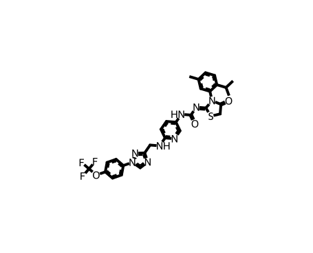 Cc1ccc(C(C)C)c(N2C(=O)CS/C2=N\C(=O)Nc2ccc(NCc3ncn(-c4ccc(OC(F)(F)F)cc4)n3)nc2)c1